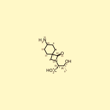 C[C@@H](O)[C@@H](C(=O)O)N1CC2(CCC(N)CC2)C1=O